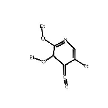 CCOC1=NC=C(CC)C(=C=O)C1OCC